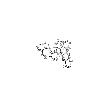 CC1(C)c2ccccc2C=Cc2ccc3c(c4c(n3-c3nc5ccccc5nc3-c3ccccc3)CCC=C4)c21